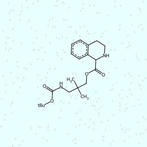 CC(C)(CNC(=O)OC(C)(C)C)COC(=O)C1NCCc2ccccc21